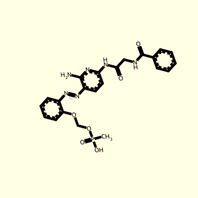 CP(=O)(O)OCOc1ccccc1/N=N/c1ccc(NC(=O)CNC(=O)c2ccccc2)nc1N